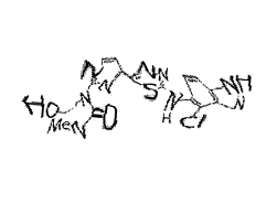 CNC(=O)N(CCO)c1nccc(-c2nnc(Nc3ccc4[nH]ncc4c3Cl)s2)n1